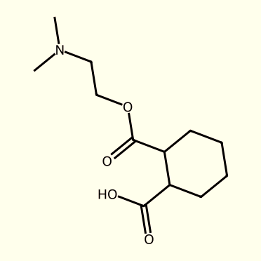 CN(C)CCOC(=O)C1CCCCC1C(=O)O